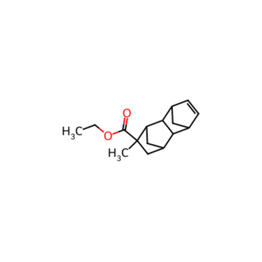 CCOC(=O)C1(C)CC2CC1C1C3C=CC(C3)C21